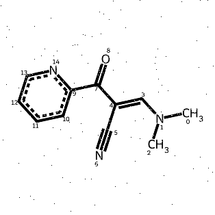 CN(C)/C=C(\C#N)C(=O)c1ccccn1